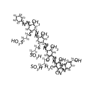 Cc1cc(N=Nc2cc(SCCCS(=O)(=O)O)c(N=Nc3cc(OCCCS(=O)(=O)O)c(N=Nc4c(C)c(C#N)c5nc6ccc(CO)cc6n5c4O)cc3C)cc2C)c(SCCCS(=O)(=O)O)cc1N=Nc1ccccc1